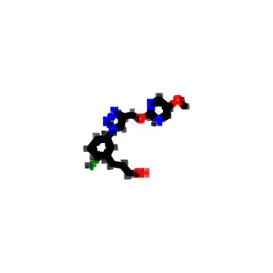 COc1cnc(OCc2cn(-c3ccc(F)c(CCCO)c3)nn2)nc1